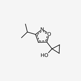 CC(C)c1cc(C2(O)CC2)on1